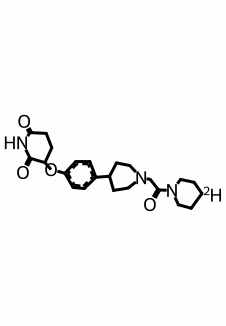 [2H]C1CCN(C(=O)CN2CCC(c3ccc(OC4CCC(=O)NC4=O)cc3)CC2)CC1